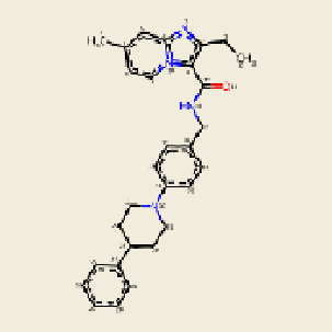 CCc1nc2cc(C)ccn2c1C(=O)NCc1ccc(N2CCC(c3ccccc3)CC2)cc1